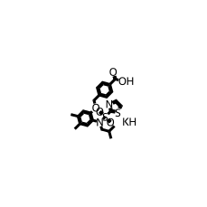 Cc1cc(OCc2ccc(C(=O)O)cc2)c(N(CC(C)C)S(=O)(=O)c2nccs2)cc1C.[KH]